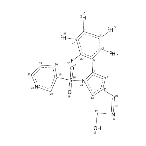 [2H]c1c([2H])c([2H])c(-c2cc(/C=N\CO)cn2S(=O)(=O)c2cccnc2)c(F)c1[2H]